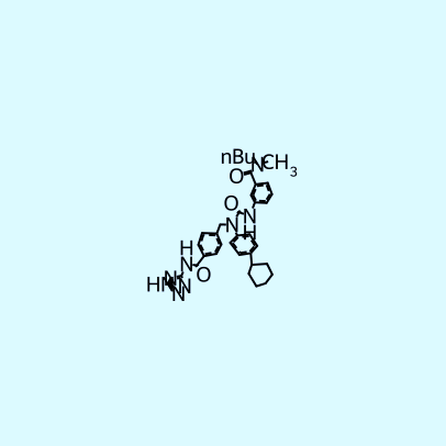 CCCCN(C)C(=O)c1cccc(NC(=O)N(Cc2ccc(C(=O)Nc3nn[nH]n3)cc2)c2ccc(C3CCCCC3)cc2)c1